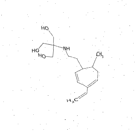 C=CC1=CCC(C)C(CCNC(CO)(CO)CO)C=C1